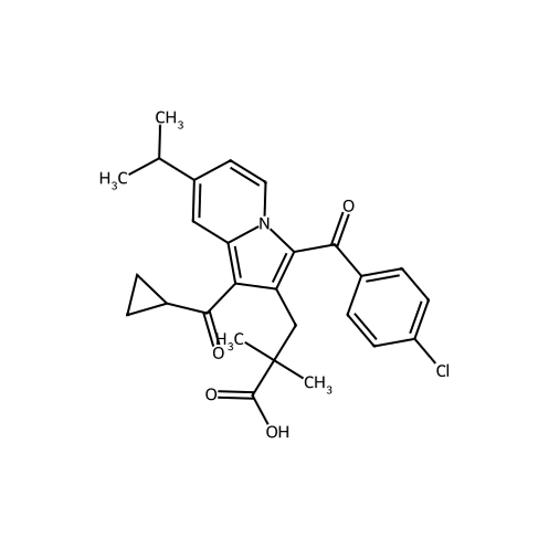 CC(C)c1ccn2c(C(=O)c3ccc(Cl)cc3)c(CC(C)(C)C(=O)O)c(C(=O)C3CC3)c2c1